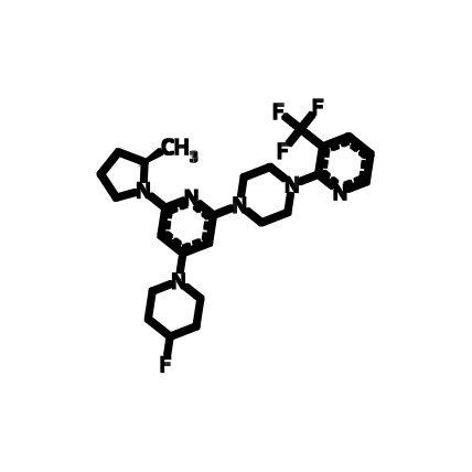 C[C@@H]1CCCN1c1cc(N2CCC(F)CC2)cc(N2CCN(c3ncccc3C(F)(F)F)CC2)n1